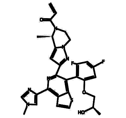 C=CC(=O)N1CCn2nc(-c3nc(-c4cn(C)cn4)c4ccsc4c3-c3c(F)cc(F)cc3OC[C@@H](C)O)cc2[C@@H]1C